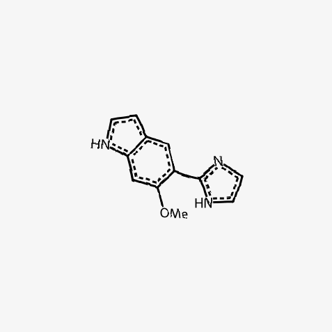 COc1cc2[nH]ccc2cc1-c1ncc[nH]1